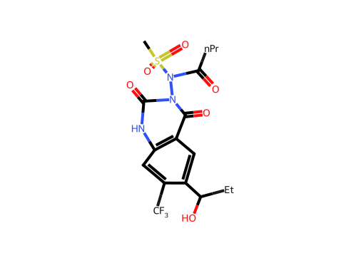 CCCC(=O)N(n1c(=O)[nH]c2cc(C(F)(F)F)c(C(O)CC)cc2c1=O)S(C)(=O)=O